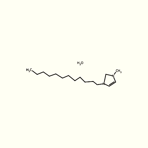 CCCCCCCCCCCCN1C=CN(C)C1.O